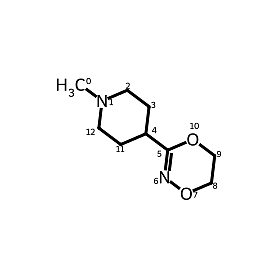 CN1CCC(C2=NOCCO2)CC1